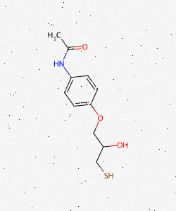 CC(=O)Nc1ccc(OCC(O)CS)cc1